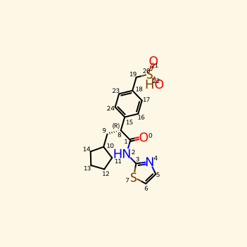 O=C(Nc1nccs1)[C@H](CC1CCCC1)c1ccc(C[SH](=O)=O)cc1